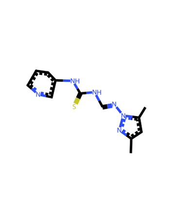 Cc1cc(C)n(/N=C/NC(=S)Nc2cccnc2)n1